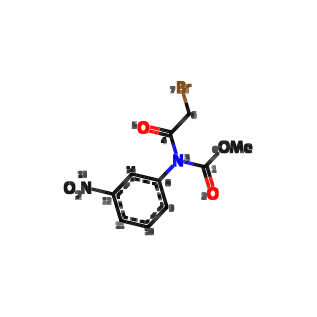 COC(=O)N(C(=O)CBr)c1cccc([N+](=O)[O-])c1